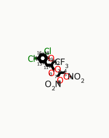 O=C(OC(CO[N+](=O)[O-])CO[N+](=O)[O-])C1=Cc2cc(Cl)cc(Cl)c2OC1C(F)(F)F